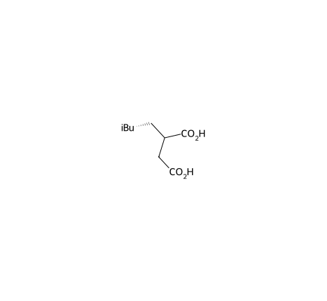 CC[C@@H](C)CC(CC(=O)O)C(=O)O